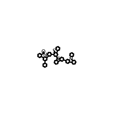 O=c1c2ccccc2c2cc(-c3ccccc3)cc3c4cc(-c5cc(-n6c7ccccc7c7cc(-c8ccc9c%10ccccc%10n(-c%10ccccc%10)c9c8)ccc76)cc6c5sc5ccccc56)ccc4n1c23